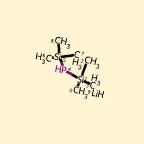 C[Si](C)(C)P[Si](C)(C)C.[LiH]